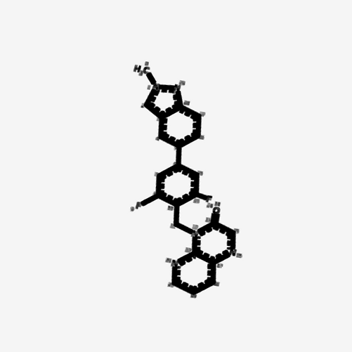 Cn1cc2cc(-c3cc(F)c(Cn4c(=O)cnc5cccnc54)c(F)c3)ccc2n1